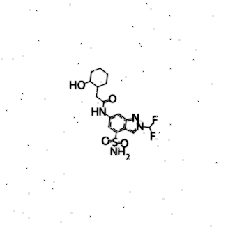 NS(=O)(=O)c1cc(NC(=O)CC2CCCCC2O)cc2nn(C(F)F)cc12